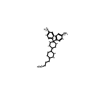 CCCCCCCCCCCCCC1CCC(C2CCC(c3ccc(N)cc3)(c3ccc(N)cc3)CC2)CC1